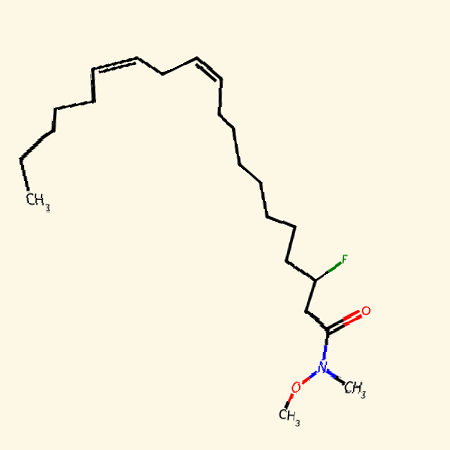 CCCCC/C=C\C/C=C\CCCCCCCC(F)CC(=O)N(C)OC